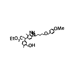 CCOC(=O)CC(c1ccc(C)c(CO)c1)c1ccc2c(nnn2CCCCCOCc2ccc(OC)cc2)c1C